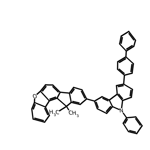 CC1(C)c2cc(-c3ccc4c(c3)c3cc(-c5ccc(-c6ccccc6)cc5)ccc3n4-c3ccccc3)ccc2-c2ccc3oc4ccccc4c3c21